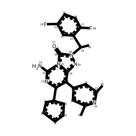 Cc1cc(-c2c(-c3ccccc3)nc(N)n3c(=O)n(C(C)c4cc(F)ccc4F)nc23)cc(C)n1